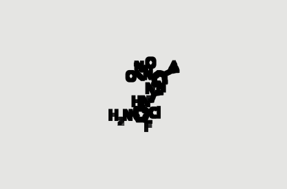 CN1C(=O)CN(c2cc(C3CC3)cn3cc(CNc4cc(N)cc(F)c4Cl)nc23)C1=O